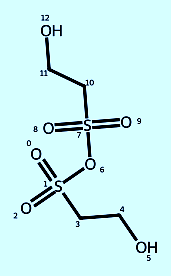 O=S(=O)(CCO)OS(=O)(=O)CCO